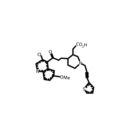 COc1ccc2ncc(Cl)c(C(=O)CCC3CCN(CC#Cc4cccs4)CC3CC(=O)O)c2c1